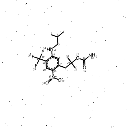 CC(C)CNc1cc(CC(C)(C)OC(N)=O)c([N+](=O)[O-])cc1C(F)(F)F